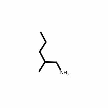 CCCC(C)[CH]N